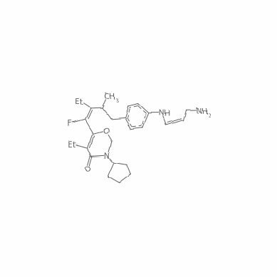 CCC1=C(/C(F)=C(/CC)C(C)Cc2ccc(N/C=C\CN)cc2)OCN(C2CCCC2)C1=O